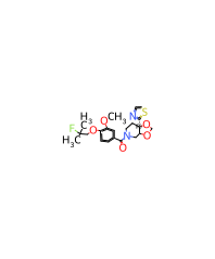 COc1cc(C(=O)N2CC[C@@]3(c4nccs4)OCOC3C2)ccc1OCC(C)(C)F